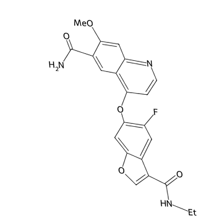 CCNC(=O)c1coc2cc(Oc3ccnc4cc(OC)c(C(N)=O)cc34)c(F)cc12